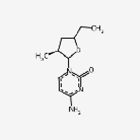 CCC1C[C@H](C)C(n2ccc(N)nc2=O)O1